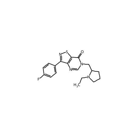 CCN1CCCC1Cn1cnc2c(-c3ccc(F)cc3)nsc2c1=O